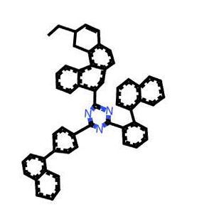 CCC1C=Cc2ccc3cc(-c4nc(-c5ccc(-c6cccc7ccccc67)cc5)nc(-c5ccccc5-c5cccc6ccccc56)n4)c4ccccc4c3c2C1